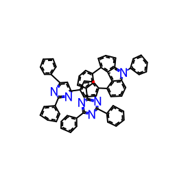 c1ccc(-c2cc(-c3ccc(-c4cccc5c4c4c(-c6cccc(-c7nc(-c8ccccc8)nc(-c8ccccc8)n7)c6)cccc4n5-c4ccccc4)cc3)nc(-c3ccccc3)n2)cc1